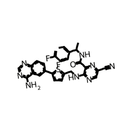 C=C(F)/C(F)=C\C(=C/C)C(C)NC(=O)c1nc(C#N)cnc1NCc1ccc(-c2ccc3ncnc(N)c3c2)s1